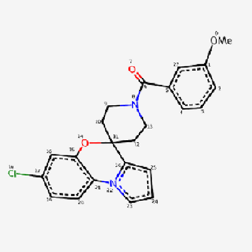 COc1cccc(C(=O)N2CCC3(CC2)Oc2cc(Cl)ccc2-n2cccc23)c1